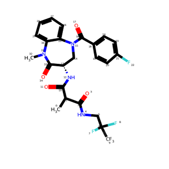 CC(C(=O)NCC(F)(F)C(F)(F)F)C(=O)N[C@H]1CN(C(=O)c2ccc(F)cc2)c2ccccc2N(C)C1=O